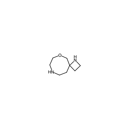 C1COCC2(CCN1)CCN2